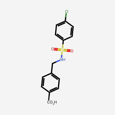 O=C(O)c1ccc(CNS(=O)(=O)c2ccc(Cl)cc2)cc1